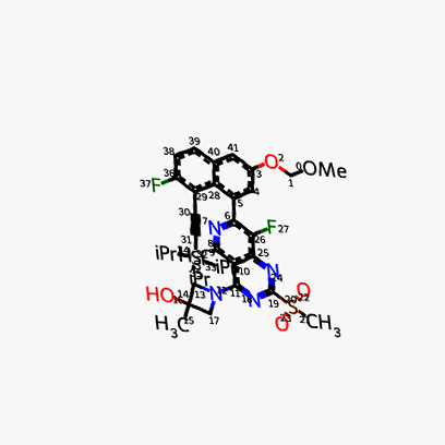 COCOc1cc(-c2nc(C)c3c(N4CC(C)(O)C4)nc(S(C)(=O)=O)nc3c2F)c2c(C#C[Si](C(C)C)(C(C)C)C(C)C)c(F)ccc2c1